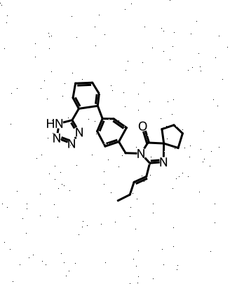 CC/C=C/C1=NC2(CCCC2)C(=O)N1Cc1ccc(-c2ccccc2-c2nnn[nH]2)cc1